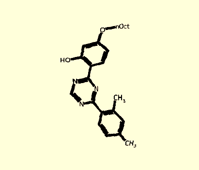 CCCCCCCCOc1ccc(-c2ncnc(-c3ccc(C)cc3C)n2)c(O)c1